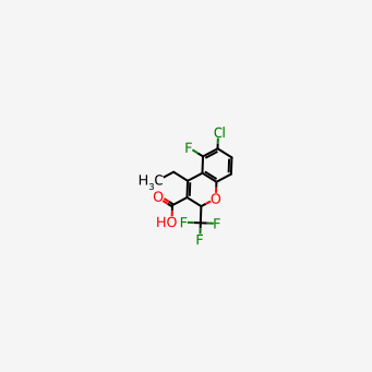 CCC1=C(C(=O)O)C(C(F)(F)F)Oc2ccc(Cl)c(F)c21